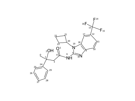 CC(O)(CC(=O)Nc1nc2ccc(C(F)(F)F)cc2n1C1CCC1)c1ccccc1